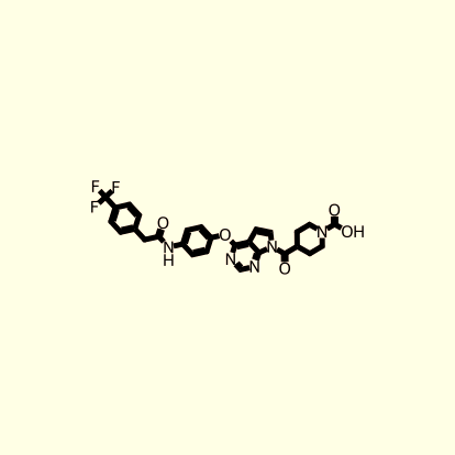 O=C(Cc1ccc(C(F)(F)F)cc1)Nc1ccc(Oc2ncnc3c2ccn3C(=O)C2CCN(C(=O)O)CC2)cc1